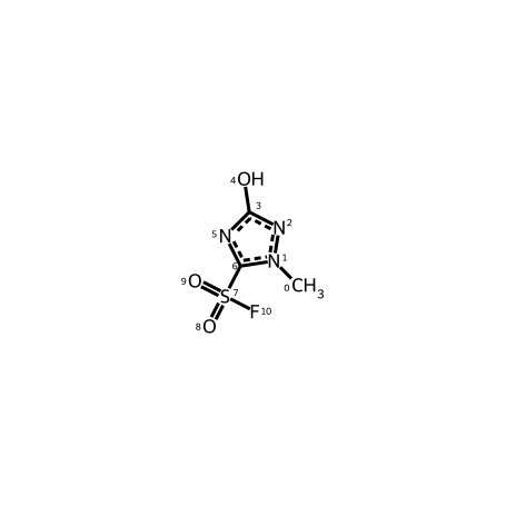 Cn1nc(O)nc1S(=O)(=O)F